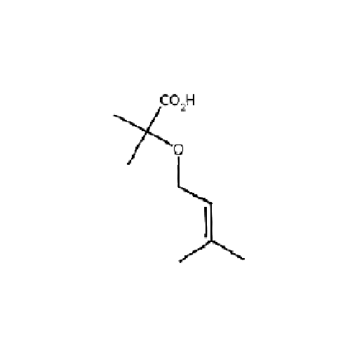 CC(C)=CCOC(C)(C)C(=O)O